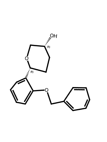 O[C@@H]1CC[C@H](c2ccccc2OCc2ccccc2)OC1